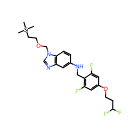 C[Si](C)(C)CCOCn1cnc2cc(NCc3c(F)cc(OCCC(F)F)cc3F)ccc21